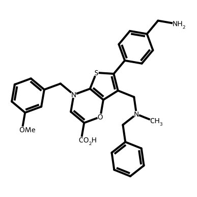 COc1cccc(CN2C=C(C(=O)O)Oc3c2sc(-c2ccc(CN)cc2)c3CN(C)Cc2ccccc2)c1